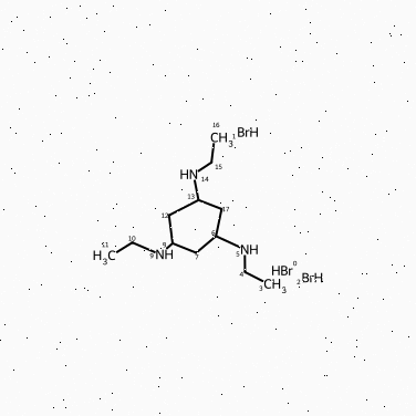 Br.Br.Br.CCNC1CC(NCC)CC(NCC)C1